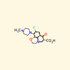 CN1CCN(c2c(F)cc3c(=O)c(C(=O)O)cn4c3c2OCC4)CC1